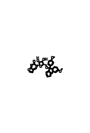 COc1ccc(C(OC[C@H]2O[C@@H](n3cc4ccoc4nc3=O)[C@H](O)[C@@H]2O)(c2ccccc2)c2ccc(OC)cc2C)cc1